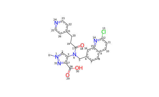 Cn1cc(N(Cc2ccc3ccc(Cl)nc3c2)C(=O)CCc2ccncc2)c(C(=O)O)n1